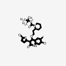 CC(C)(C)OC(=O)N1CCCCC1CCOc1c(-c2ccc(Cl)s2)c(=O)[nH]c2cc(Cl)c(I)cc12